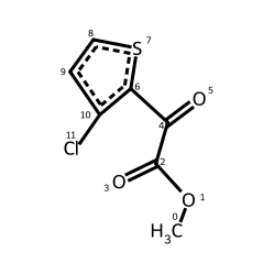 COC(=O)C(=O)c1sccc1Cl